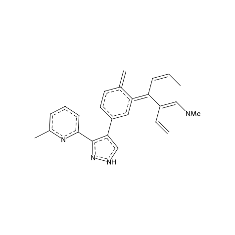 C=CC(=C\NC)/C(/C=C\C)=c1\cc(-c2c[nH]nc2-c2cccc(C)n2)ccc1=C